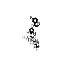 CC(C(=O)Nc1nnc(C(F)(F)F)[nH]1)[C@@H]1[C@@H]2C[C@@H](Oc3ccnc4ccc(F)cc34)C[C@@H]21